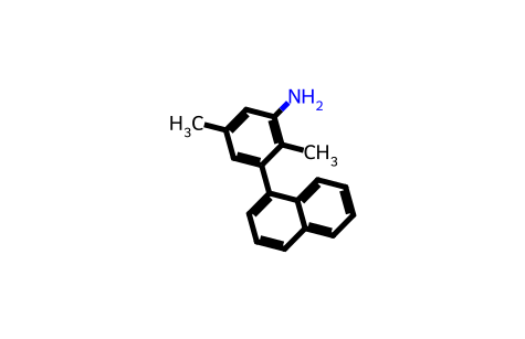 Cc1cc(N)c(C)c(-c2cccc3ccccc23)c1